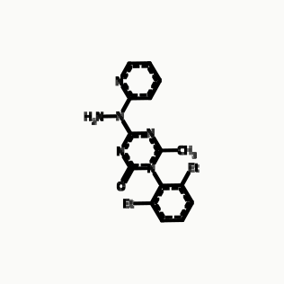 CCc1cccc(CC)c1-n1c(C)nc(N(N)c2ccccn2)nc1=O